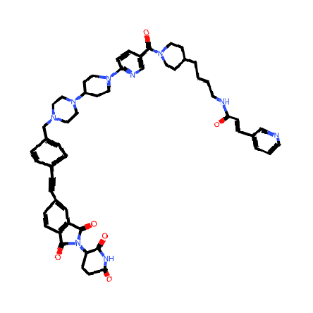 O=C(/C=C/c1cccnc1)NCCCCC1CCN(C(=O)c2ccc(N3CCC(N4CCN(Cc5ccc(C#Cc6ccc7c(c6)C(=O)N(C6CCC(=O)NC6=O)C7=O)cc5)CC4)CC3)nc2)CC1